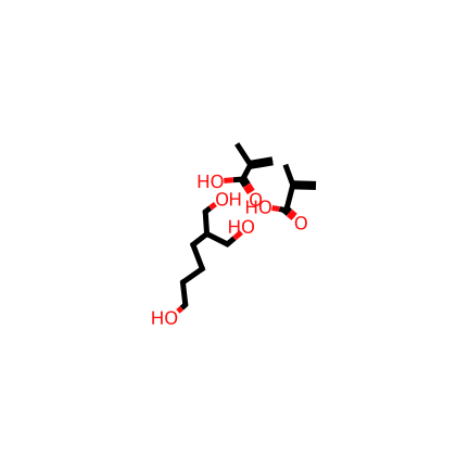 C=C(C)C(=O)O.C=C(C)C(=O)O.OCCCCC(CO)CO